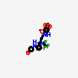 COc1cc(S(C)(=O)=O)ccc1NCC#Cc1cc2c(NC3CCC(=O)CC3)cccc2n1C(F)C(F)F